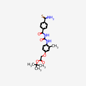 Cc1cc(OCC(=O)OC(C)(C)C)ccc1NC(=O)NC(=O)c1ccc(C(N)=S)cc1